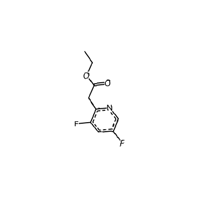 CCOC(=O)Cc1ncc(F)cc1F